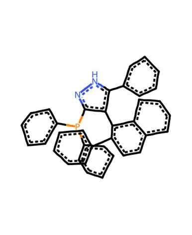 c1ccc(-c2ccc3ccccc3c2-c2c(P(c3ccccc3)c3ccccc3)n[nH]c2-c2ccccc2)cc1